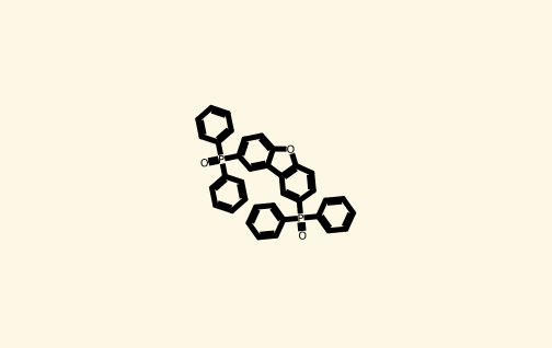 O=P(c1ccccc1)(c1ccccc1)c1ccc2oc3ccc(P(=O)(c4ccccc4)c4ccccc4)cc3c2c1